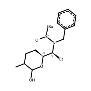 CC[C@@H]([C@@H]1CCC(I)C(O)O1)N(Cc1ccccc1)[S+]([O-])C(C)(C)C